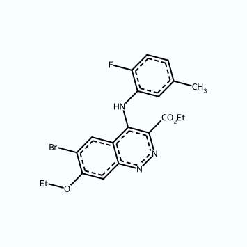 CCOC(=O)c1nnc2cc(OCC)c(Br)cc2c1Nc1cc(C)ccc1F